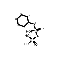 O=P(O)(O)OP(=O)(O)SC1CCCCC1